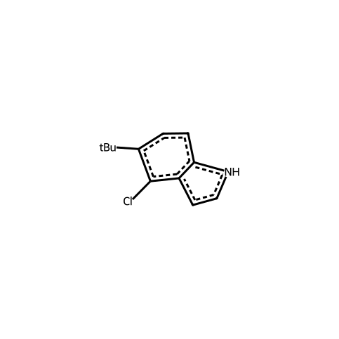 CC(C)(C)c1ccc2[nH]ccc2c1Cl